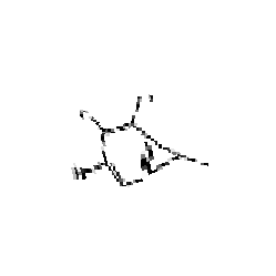 CCCc1c(Cl)c(C(C)C)cc2c1C2C